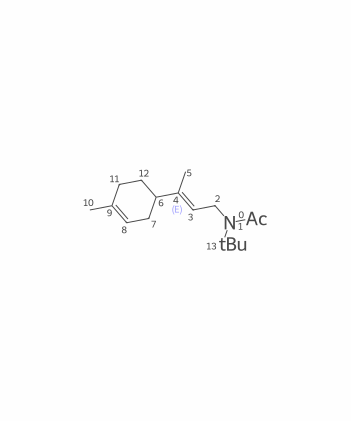 CC(=O)N(C/C=C(\C)C1CC=C(C)CC1)C(C)(C)C